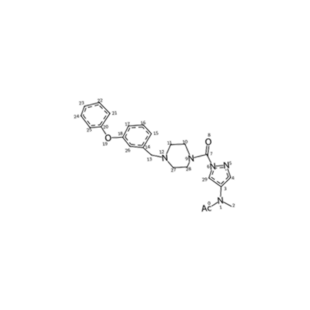 CC(=O)N(C)c1cnn(C(=O)N2CCN(Cc3cccc(Oc4ccccc4)c3)CC2)c1